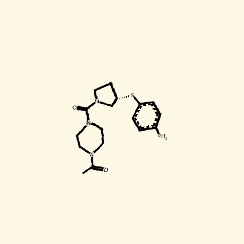 CC(=O)N1CCN(C(=O)N2CC[C@H](Sc3ccc(P)cc3)C2)CC1